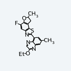 CCOc1cnc2c(-c3nc4cc(F)c5c(c4s3)C[C@H](C)O5)cc(C)cc2n1